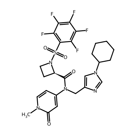 Cn1ccc(N(Cc2cn(C3CCCCC3)cn2)C(=O)[C@H]2CCN2S(=O)(=O)c2c(F)c(F)c(F)c(F)c2F)cc1=O